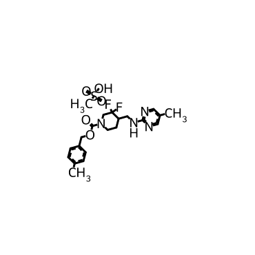 CS(=O)(=O)O.Cc1ccc(COC(=O)N2CCC(CNc3ncc(C)cn3)C(F)(F)C2)cc1